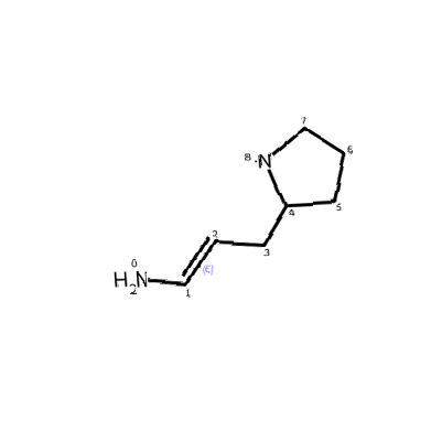 N/C=C/CC1CCC[N]1